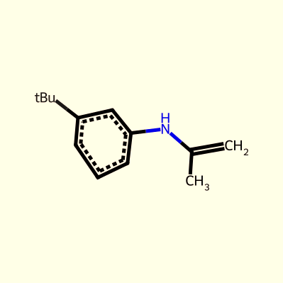 C=C(C)Nc1cccc(C(C)(C)C)c1